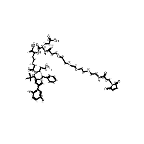 CC(C)(C)[C@H](c1cc(-c2cc(F)ccc2F)cn1Cc1ccccc1)N(CCCN)C(=O)CSCCC(NC(=O)[C@H](CCC(=O)O)NC(=O)CCOCCOCCOCCOCCNC(=O)CCN1C(=O)C=CC1=O)C(=O)O